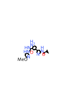 COc1ccc(NC(=O)C(=N)c2cc(-c3cncc(NC(=O)C4CC4)c3)ccc2N)cn1